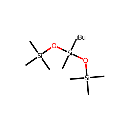 CCC(C)[Si](C)(O[Si](C)(C)C)O[Si](C)(C)C